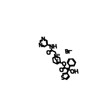 O=C(C[N+]12CCC(CC1)C(OC(=O)[C@@](O)(c1ccccc1)c1ccsc1)C2)Nc1cncnc1.[Br-]